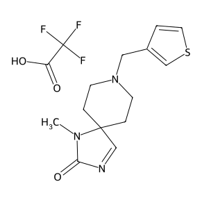 CN1C(=O)N=CC12CCN(Cc1ccsc1)CC2.O=C(O)C(F)(F)F